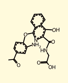 CC(=O)c1ccc(Oc2nc(C(=O)NCC(=O)O)c(O)c3ccccc23)c(N)c1